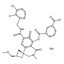 COC[C@H]1C[C@@]2(CN(C)C(=O)c3c(OC(=O)c4cccc(C(=O)[O-])c4)c(=O)c(C(=O)NCc4cccc(Cl)c4F)cn32)C1.[Na+]